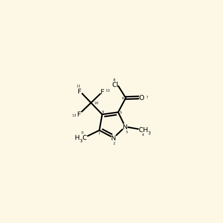 Cc1nn(C)c(C(=O)Cl)c1C(F)(F)F